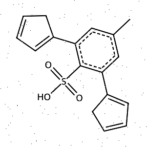 Cc1cc(C2=CC=CC2)c(S(=O)(=O)O)c(C2=CC=CC2)c1